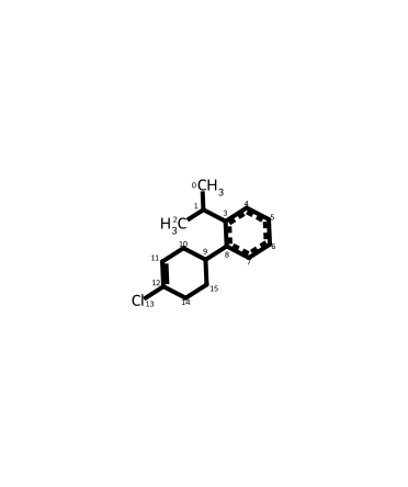 CC(C)c1ccccc1C1CC=C(Cl)CC1